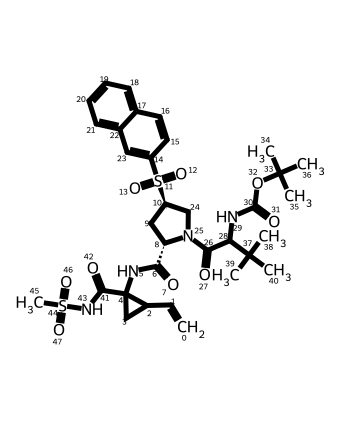 C=CC1CC1(NC(=O)[C@@H]1C[C@@H](S(=O)(=O)c2ccc3ccccc3c2)CN1C(=O)C(NC(=O)OC(C)(C)C)C(C)(C)C)C(=O)NS(C)(=O)=O